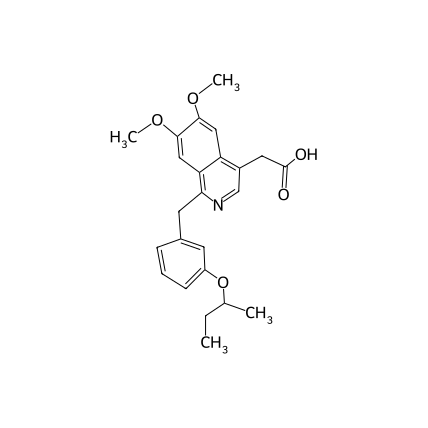 CCC(C)Oc1cccc(Cc2ncc(CC(=O)O)c3cc(OC)c(OC)cc23)c1